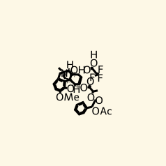 COc1ccc2c3c1O[C@H]1C(OC(=O)C(C)OC(=O)C(OC(C)=O)c4ccccc4)=CC[C@@]4(O)[C@@H](C2)N(C)CC[C@]314.O=C(O)C(F)(F)F